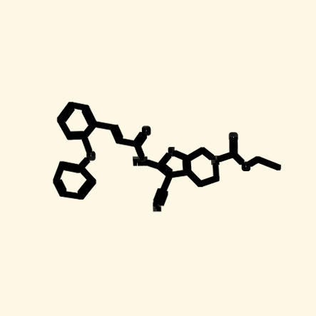 CCOC(=O)N1CCc2c(sc(NC(=O)/C=C/c3ccccc3Oc3ccccc3)c2C#N)C1